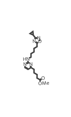 COC(=O)CCCCc1ccnc(NCCCCCc2nc(C3CC3)no2)n1